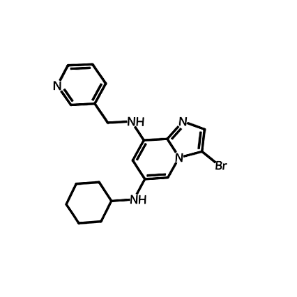 Brc1cnc2c(NCc3cccnc3)cc(NC3CCCCC3)cn12